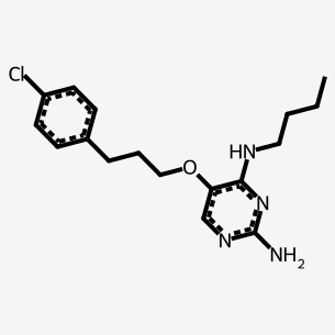 CCCCNc1nc(N)ncc1OCCCc1ccc(Cl)cc1